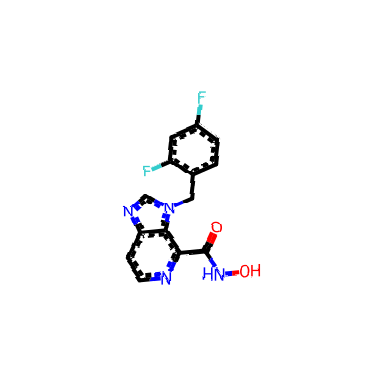 O=C(NO)c1nccc2ncn(Cc3ccc(F)cc3F)c12